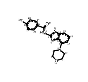 O=C(Nc1nc2c(N3CCOCC3)cccc2s1)c1ccc(F)cc1